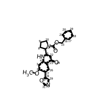 COc1cc2[nH]c(C3CCCN3C(=O)OCc3ccccc3)cc(=O)c2cc1-c1cnco1